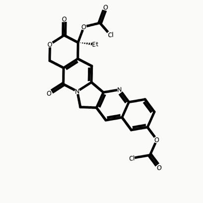 CC[C@@]1(OC(=O)Cl)C(=O)OCc2c1cc1n(c2=O)Cc2cc3cc(OC(=O)Cl)ccc3nc2-1